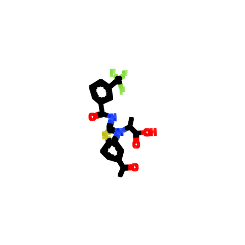 CC(=O)c1ccc2sc(=NC(=O)c3cccc(C(F)(F)F)c3)n(C(C)C(=O)O)c2c1